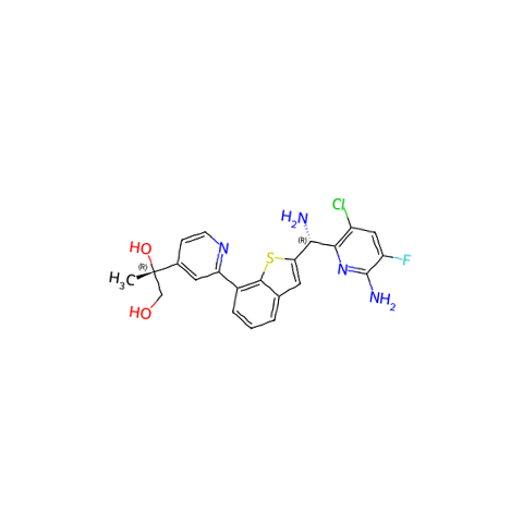 C[C@](O)(CO)c1ccnc(-c2cccc3cc([C@H](N)c4nc(N)c(F)cc4Cl)sc23)c1